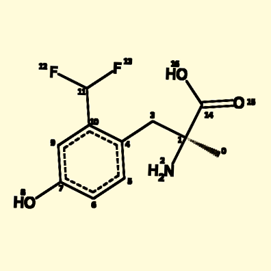 C[C@](N)(Cc1ccc(O)cc1C(F)F)C(=O)O